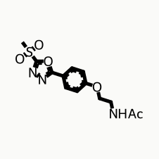 CC(=O)NCCOc1ccc(-c2nnc(S(C)(=O)=O)o2)cc1